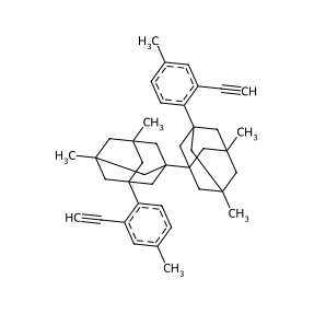 C#Cc1cc(C)ccc1C12CC3(C)CC(C)(C1)CC(C14CC5(C)CC(C)(CC(c6ccc(C)cc6C#C)(C5)C1)C4)(C3)C2